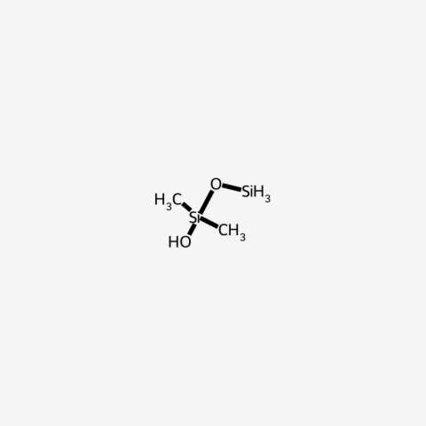 C[Si](C)(O)O[SiH3]